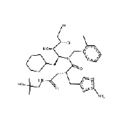 Cc1ccccc1CN(C(=O)[C@@H](CC(=O)NCC(C)(C)O)Cc1csc(N)n1)[C@@H](CC1CCCCC1)[C@@H](O)[C@@H](O)CC(C)C